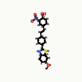 COc1ccc2nc(-c3ccc(C=Cc4ccc(O)c([N+](=O)[O-])c4)cc3)sc2c1